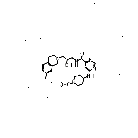 Cc1ccc2c(c1)CN(CC(O)CNC(=O)c1cc(NC3CCN(C=O)CC3)ncn1)CC2